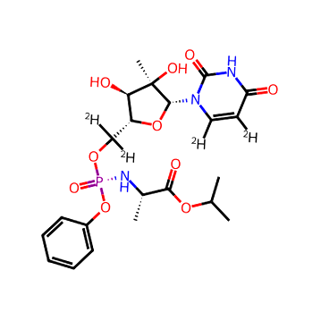 [2H]c1c([2H])n([C@@H]2O[C@H](C([2H])([2H])O[P@@](=O)(N[C@@H](C)C(=O)OC(C)C)Oc3ccccc3)[C@@H](O)[C@@]2(C)O)c(=O)[nH]c1=O